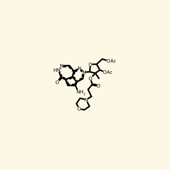 CC(=O)OCC1OC(n2cc3c(N)cc4c(=O)[nH]ncc(n2)c34)C(C)(OC(=O)CCN2CCOCC2)C1OC(C)=O